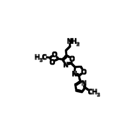 Cc1cccc(C2=NC(c3nc(C4OC(C)O4)c(CCN)o3)CO2)n1